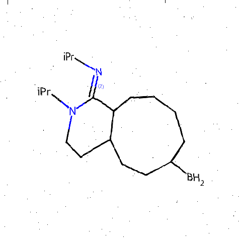 BC1CCCCC2/C(=N/C(C)C)N(C(C)C)CCC2CC1